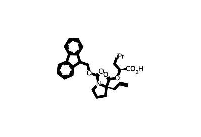 C=CC[C@@]1(C(=O)O[C@@H](CC(C)C)C(=O)O)CCCN1C(=O)OCC1c2ccccc2-c2ccccc21